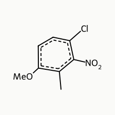 COc1ccc(Cl)c([N+](=O)[O-])c1C